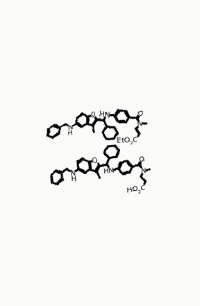 CCOC(=O)CCN(C)C(=O)c1ccc(NC(c2oc3ccc(NCc4ccccc4)cc3c2C)C2CCCCC2)cc1.Cc1c(C(Nc2ccc(C(=O)N(C)CCC(=O)O)cc2)C2CCCCC2)oc2ccc(NCc3ccccc3)cc12